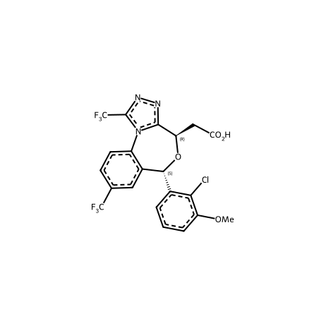 COc1cccc([C@H]2O[C@H](CC(=O)O)c3nnc(C(F)(F)F)n3-c3ccc(C(F)(F)F)cc32)c1Cl